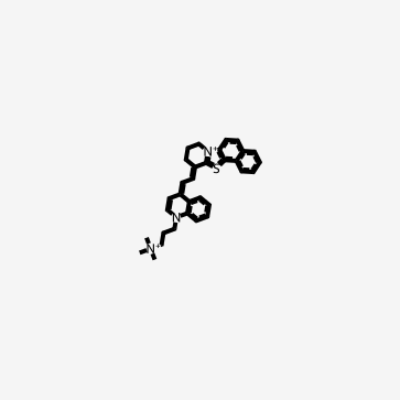 C[N+](C)(C)CCCN1C=C/C(=C/C=C2\CCC[n+]3c2sc2c4ccccc4ccc23)c2ccccc21